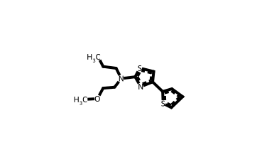 CCCN(CCOC)c1nc(-c2cccs2)cs1